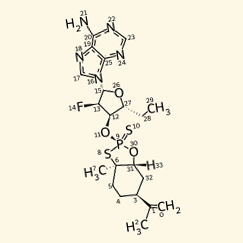 C=C(C)[C@H]1CC[C@@]2(C)S[P@@](=S)(O[C@H]3[C@@H](F)[C@H](n4cnc5c(N)ncnc54)O[C@@H]3CC)O[C@@H]2C1